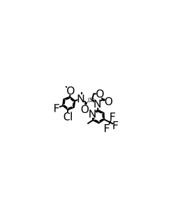 COc1cc(F)c(Cl)cc1N(C)C(=O)[C@@H]1COC(=O)N1c1cc(C(F)(F)F)cc(C)n1